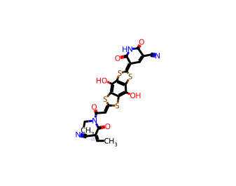 C/C=C(/C#N)C(=O)N(CC)C(=O)C=C1Sc2c(O)c3c(c(O)c2S1)SC(=C1C=C(C#N)C(=O)NC1=O)S3